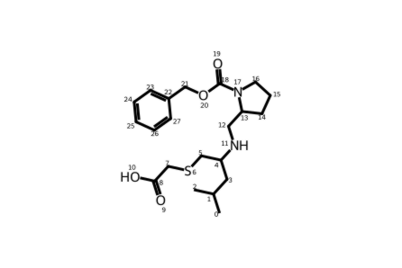 CC(C)CC(CSCC(=O)O)NCC1CCCN1C(=O)OCc1ccccc1